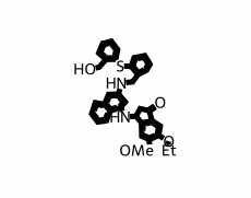 CCOc1cc2c(cc1OC)C(Nc1cc(NCc3ccccc3Sc3ccccc3CO)cc3ccccc13)CC2=O